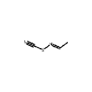 C/I=N/SC#N